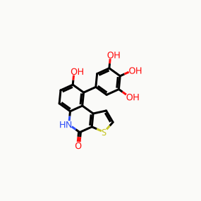 O=c1[nH]c2ccc(O)c(-c3cc(O)c(O)c(O)c3)c2c2ccsc12